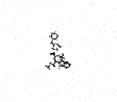 CC(C)OC(=O)C1=CN(C(=O)N2CCCC(CN3CCOCC3)C2)CC(C)(C)c2c1[nH]c1ccccc21